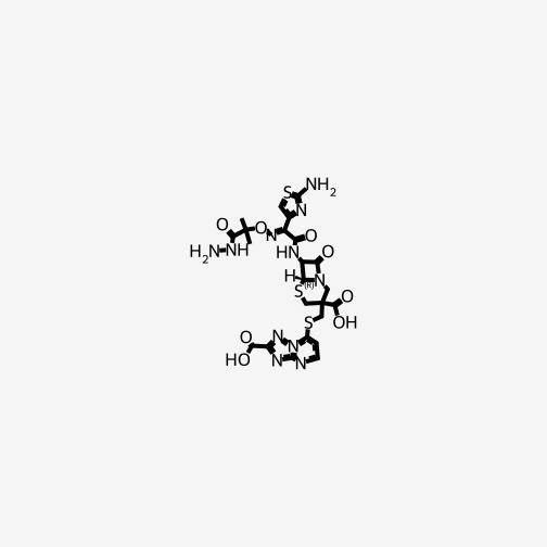 CC(C)(ON=C(C(=O)NC1C(=O)N2CC(CSc3ccnc4nc(C(=O)O)nn34)(C(=O)O)CS[C@H]12)c1csc(N)n1)C(=O)NN